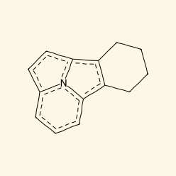 c1cc2ccc3c4c(c(c1)n23)CCCC4